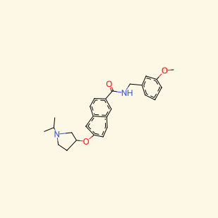 COc1cccc(CNC(=O)c2ccc3cc(OC4CCN(C(C)C)C4)ccc3c2)c1